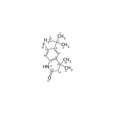 CC(C)(C)c1cc2c(cc1F)NC(=O)CC2(C)C